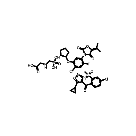 CC(C)=C1OC(=O)N(c2cc(OC3CCCC3)c(Cl)cc2F)C1=O.CS(=O)(=O)c1cc(Cl)ccc1C(=O)c1cnoc1C1CC1.O=C(O)CNCP(=O)(O)O